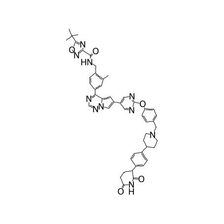 Cc1cc(-c2ncnn3cc(-c4cnc(Oc5ccc(CN6CCC(c7ccc(C8CCC(=O)NC8=O)cc7)CC6)cc5)nc4)cc23)ccc1CNC(=O)c1noc(C(C)(C)C)n1